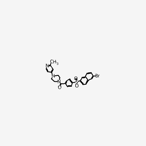 Cc1cc(N2CCN(C(=O)c3ccc(S(=O)(=O)c4ccc5cc(Br)ccc5c4)cc3)CC2)ccn1